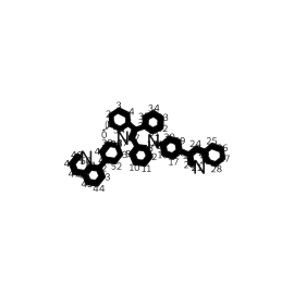 C[C@@H]1CC=CC2C3=C(c4ccccc4N(c4ccc(-c5cnc6c(c5)C=CCC6)cc4)c4ccccc43)N(C3C=CC(c4cccc5cccnc45)=CC3)C21